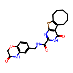 O=C1COc2ccc(CNC(=O)c3nc4sc5c(c4c(=O)[nH]3)CCCCCC5)cc2N1